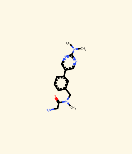 CN(Cc1cccc(-c2cnc(N(C)C)nc2)c1)C(=O)CN